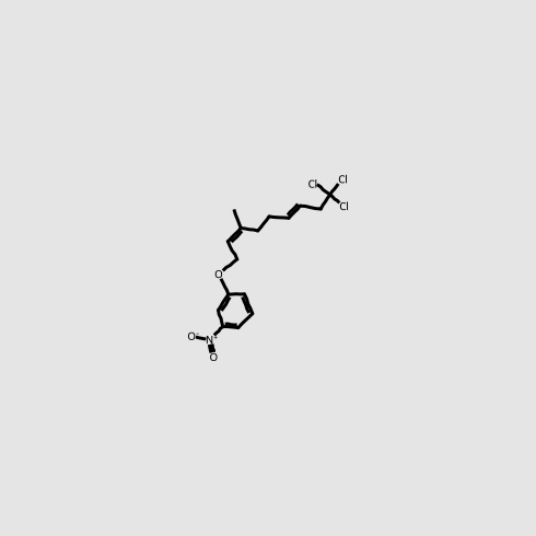 CC(=CCOc1cccc([N+](=O)[O-])c1)CCC=CCC(Cl)(Cl)Cl